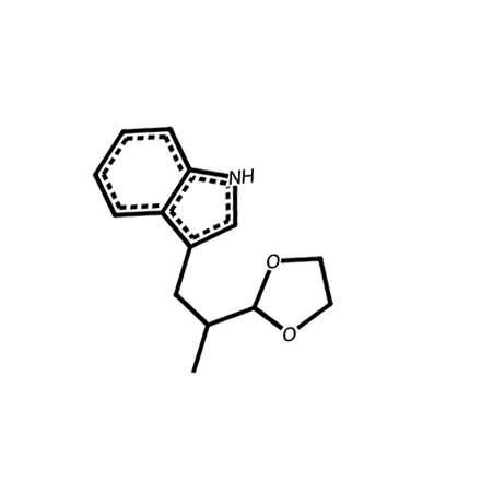 CC(Cc1c[nH]c2ccccc12)C1OCCO1